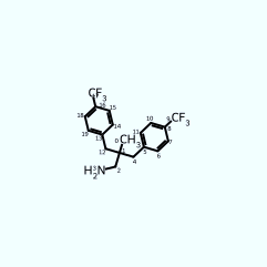 CC(CN)(Cc1ccc(C(F)(F)F)cc1)Cc1ccc(C(F)(F)F)cc1